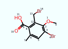 COc1c(Br)cc(C)c(C(=O)O)c1CBr